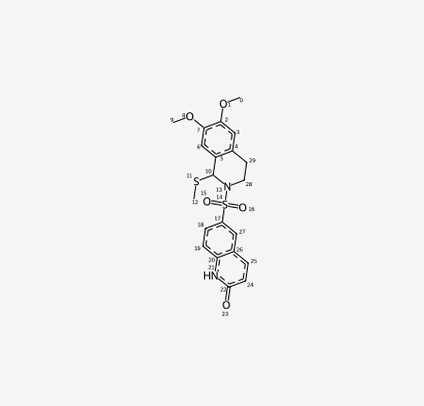 COc1cc2c(cc1OC)C(SC)N(S(=O)(=O)c1ccc3[nH]c(=O)ccc3c1)CC2